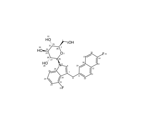 OC[C@H]1O[C@@H](n2cc(Cc3ccc4cc(F)ccc4c3)c3c(F)cccc32)[C@H](O)[C@@H](O)[C@@H]1O